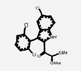 COC(SC)C(=O)c1[nH]c2ccc(Cl)cc2c1-c1c(Cl)cccc1Cl